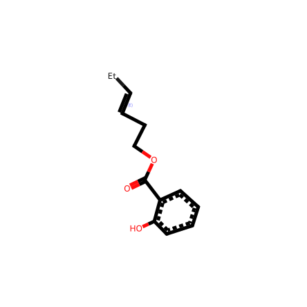 CC/C=C/CCOC(=O)c1ccccc1O